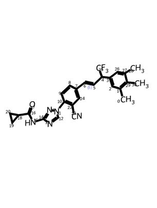 Cc1cc(C(/C=C/c2ccc(-n3cnc(NC(=O)C4CC4)n3)c(C#N)c2)C(F)(F)F)cc(C)c1C